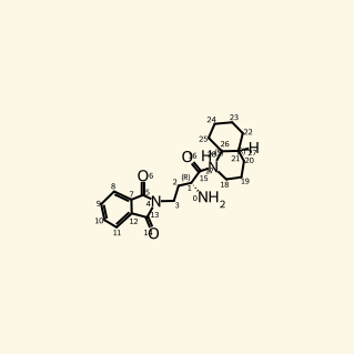 N[C@H](CCN1C(=O)c2ccccc2C1=O)C(=O)N1CCC[C@H]2CCCC[C@@H]21